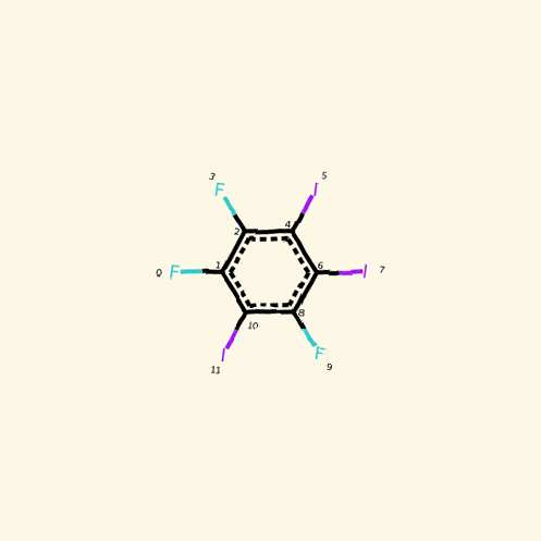 Fc1c(F)c(I)c(I)c(F)c1I